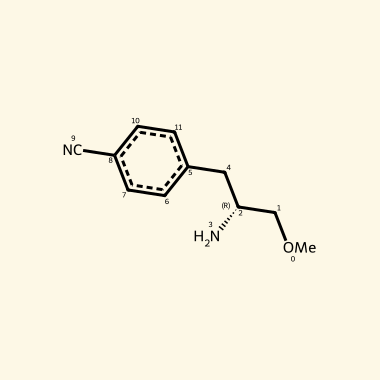 COC[C@H](N)Cc1ccc(C#N)cc1